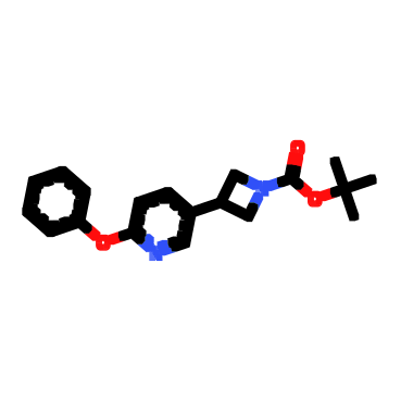 CC(C)(C)OC(=O)N1CC(c2ccc(Oc3ccccc3)nc2)C1